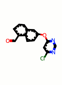 O=Cc1cccc2cc(Oc3cc(Cl)ncn3)ccc12